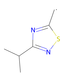 [CH2]c1nc(C(C)C)ns1